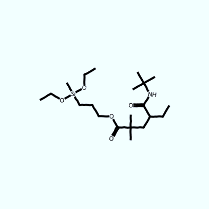 CCO[Si](C)(CCCOC(=O)C(C)(C)CC(CC)C(=O)NC(C)(C)C)OCC